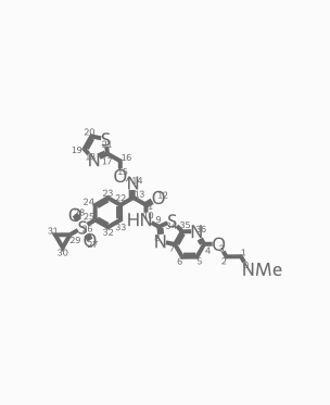 CNCCOc1ccc2nc(NC(=O)/C(=N/OCc3nccs3)c3ccc(S(=O)(=O)C4CC4)cc3)sc2n1